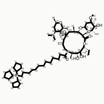 CC[C@H]1OC(=O)[C@H](C)[C@@H](O[C@H]2C[C@@](C)(OC)[C@@H](O)[C@H](C)O2)[C@H](C)[C@@H](C[C@@H]2O[C@H](C)C[C@H](N(C)C)[C@H]2O)[C@](C)(O)C[C@@H](C)CN(C(=O)CCCCCCCCCCCC[PH](C2CCCC2)(C2CCCC2)C2CCCC2)[C@H](C)[C@@H](O)[C@]1(C)O